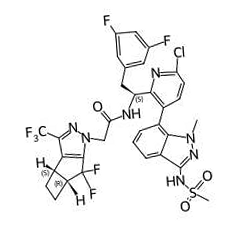 Cn1nc(NS(C)(=O)=O)c2cccc(-c3ccc(Cl)nc3[C@H](Cc3cc(F)cc(F)c3)NC(=O)Cn3nc(C(F)(F)F)c4c3C(F)(F)[C@@H]3CC[C@H]43)c21